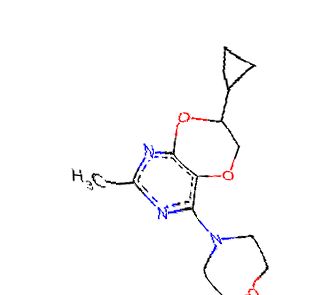 Cc1nc2c(c(N3CCOCC3)n1)OCC(C1CC1)O2